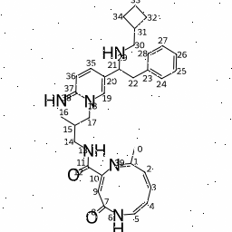 Cc1cccc[nH]c(=O)cc(C(=O)NCC(C)Cn2cc(C(Cc3ccccc3)NCC3CCC3)ccc2=N)n1